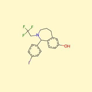 Oc1ccc2c(c1)CCCN(CC(F)(F)F)C2c1ccc(I)cc1